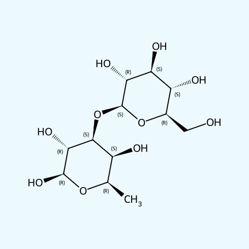 C[C@H]1O[C@@H](O)[C@H](O)[C@@H](O[C@@H]2O[C@H](CO)[C@@H](O)[C@H](O)[C@H]2O)[C@H]1O